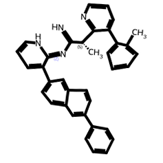 Cc1ccccc1-c1cccnc1[C@H](C)C(=N)/N=c1\[nH]cccc1-c1ccc2cc(-c3ccccc3)ccc2c1